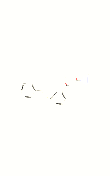 CN(C)C(=O)CC(=O)c1cccc(SCc2ccccc2)c1